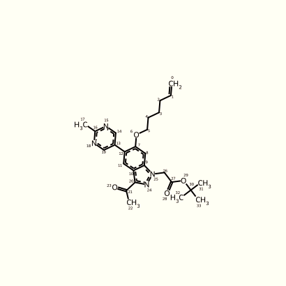 C=CCCCCOc1cc2c(cc1-c1cnc(C)nc1)c(C(C)=O)nn2CC(=O)OC(C)(C)C